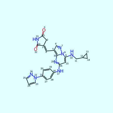 O=C1C/C(=C\c2cnn3c(NCC4CC4)cc(Nc4ccc(-n5cccn5)cc4)nc23)C(=O)N1